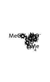 C.COc1ccc(CN(Cc2ccc(OC)cc2)c2cc(=O)n3c4nc(ncc24)[S+]([O-])C2CCCC23)cc1